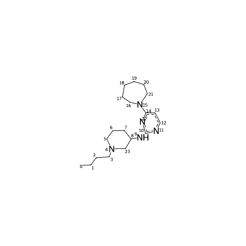 CCCCN1CCCC(Nc2nccc(N3CCCCCC3)n2)C1